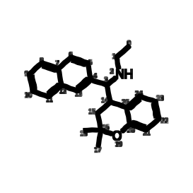 CCNC(c1ccc2ccccc2c1)C1CC(C)(C)Oc2ccccc21